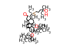 C[C@H](SCCCC(C)(C)O)[C@H]1C(=O)C[C@H]2C3=CC=C4C[C@@H](O[Si](C)(C)C(C)(C)C)C[C@H](O[Si](C)(C)C(C)(C)C)[C@]4(C)[C@H]3CC[C@]12C